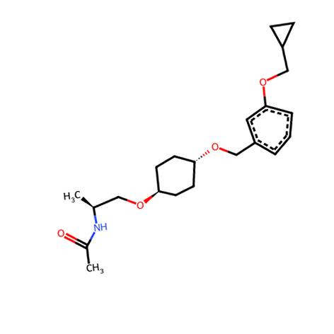 CC(=O)N[C@@H](C)CO[C@H]1CC[C@H](OCc2cccc(OCC3CC3)c2)CC1